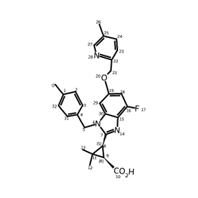 Cc1ccc(Cn2c([C@H]3[C@@H](C(=O)O)C3(C)C)nc3c(F)cc(OCc4ccc(C)cn4)cc32)cc1